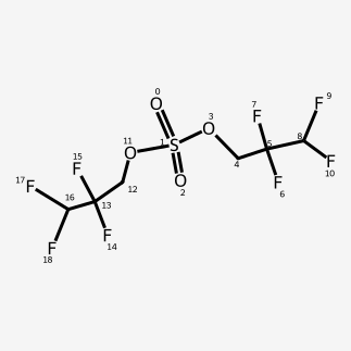 O=S(=O)(OCC(F)(F)C(F)F)OCC(F)(F)C(F)F